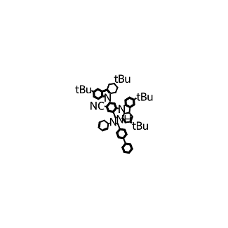 CC(C)(C)C1=CC2c3cc(C(C)(C)C)ccc3N(c3cc(-n4c5c(c6cc(C(C)(C)C)ccc64)CC(C(C)(C)C)CC5)c(C#N)cc3C3NC(c4ccc(-c5ccccc5)cc4)N3C3C=CC=CC3)C2C=C1